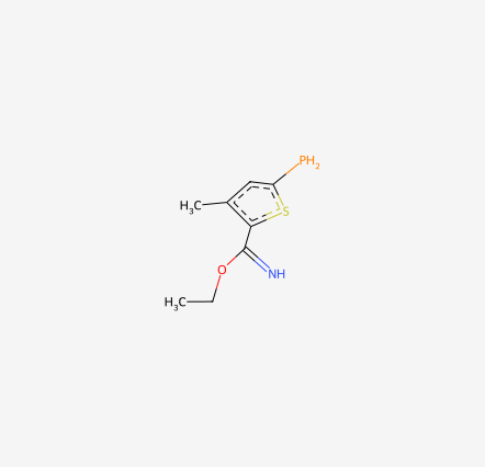 CCOC(=N)c1sc(P)cc1C